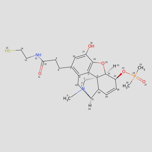 CN1CC[C@]23c4c5c(CCC(=O)NCCS)cc(O)c4O[C@H]2[C@@H](OP(C)(C)=O)C=CC3[C@H]1C5